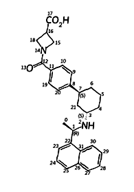 C[C@@H](N[C@H]1CCC[C@H](c2ccc(C(=O)N3CC(C(=O)O)C3)cc2)C1)c1cccc2ccccc12